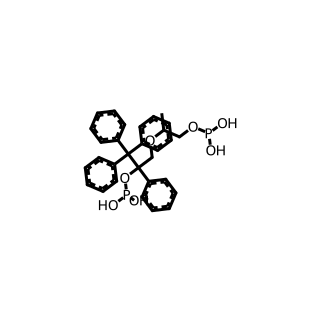 CC(COP(O)O)OCC(OP(O)O)(c1ccccc1)C(c1ccccc1)(c1ccccc1)c1ccccc1